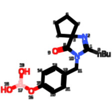 CCCCC1=NC2(CCCC2)C(=O)N1Cc1ccc(OB(O)O)cc1